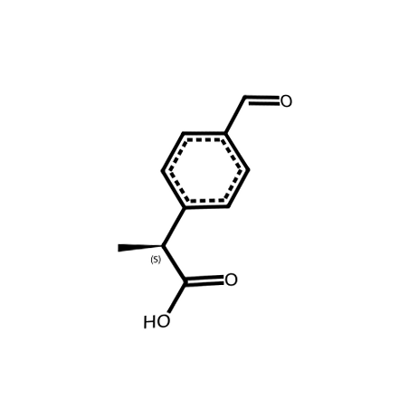 C[C@H](C(=O)O)c1ccc(C=O)cc1